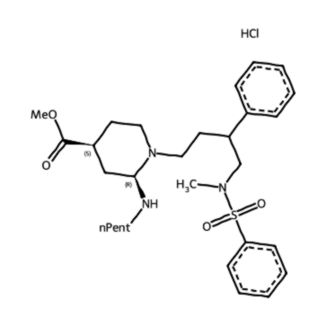 CCCCCN[C@H]1C[C@@H](C(=O)OC)CCN1CCC(CN(C)S(=O)(=O)c1ccccc1)c1ccccc1.Cl